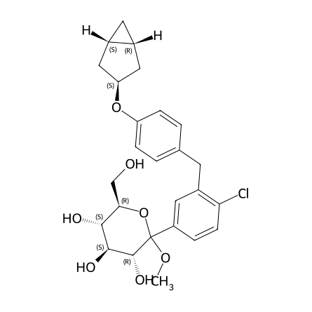 COC1(c2ccc(Cl)c(Cc3ccc(O[C@H]4C[C@@H]5C[C@@H]5C4)cc3)c2)O[C@H](CO)[C@@H](O)[C@H](O)[C@H]1O